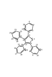 c1ccc(-c2sc(-c3cccnc3)c(-c3ccccn3)c2-c2ccccn2)nc1